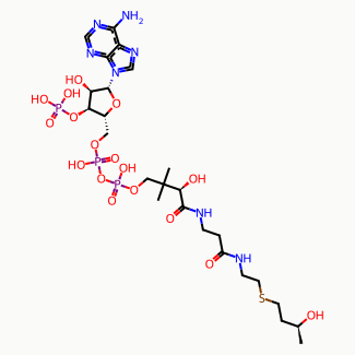 C[C@H](O)CCSCCNC(=O)CCNC(=O)[C@H](O)C(C)(C)COP(=O)(O)OP(=O)(O)OC[C@H]1O[C@@H](n2cnc3c(N)ncnc32)[C@H](O)[C@@H]1OP(=O)(O)O